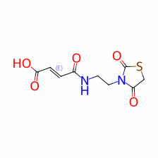 O=C(O)/C=C/C(=O)NCCN1C(=O)CSC1=O